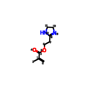 C=C(C)C(=O)OCCC1=NCCN1